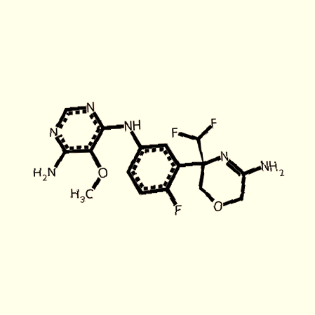 COc1c(N)ncnc1Nc1ccc(F)c([C@@]2(C(F)F)COCC(N)=N2)c1